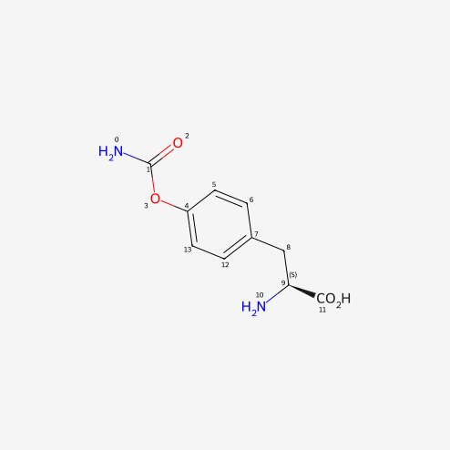 NC(=O)Oc1ccc(C[C@H](N)C(=O)O)cc1